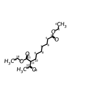 CCOC(=O)CCCCCCC(C(C)=O)C(=O)OCC